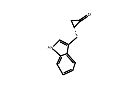 O=C1C[C@H]1Cc1c[nH]c2ccccc12